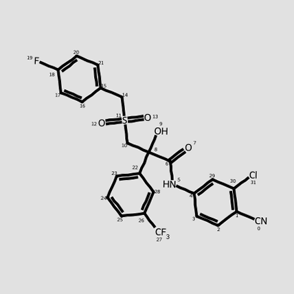 N#Cc1ccc(NC(=O)C(O)(CS(=O)(=O)Cc2ccc(F)cc2)c2cccc(C(F)(F)F)c2)cc1Cl